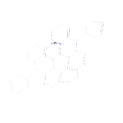 c1ccc(N(c2ccccn2)c2ccc3ccc4ccc(N(c5ccccc5)c5ccccn5)c5c6ccccc6c2c3c45)cc1